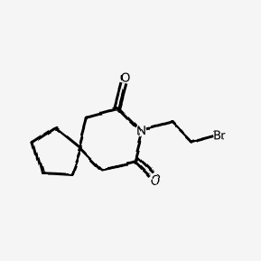 O=C1CC2(CCCC2)CC(=O)N1CCBr